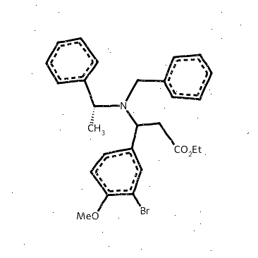 CCOC(=O)CC(c1ccc(OC)c(Br)c1)N(Cc1ccccc1)[C@H](C)c1ccccc1